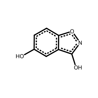 Oc1ccc2onc(O)c2c1